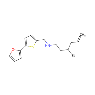 C=CCC(CC)CCNCc1ccc(-c2ccco2)s1